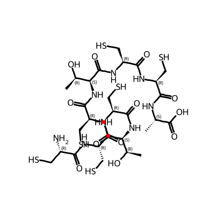 C[C@H](NC(=O)[C@H](CS)NC(=O)[C@H](CS)NC(=O)[C@@H](NC(=O)[C@H](CS)NC(=O)[C@@H](NC(=O)[C@H](CS)NC(=O)[C@H](CS)NC(=O)[C@@H](N)CS)[C@@H](C)O)[C@@H](C)O)C(=O)O